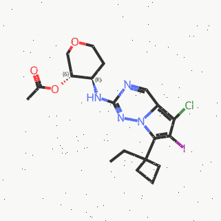 CCC1(c2c(I)c(Cl)c3cnc(N[C@@H]4CCOC[C@H]4OC(C)=O)nn23)CCC1